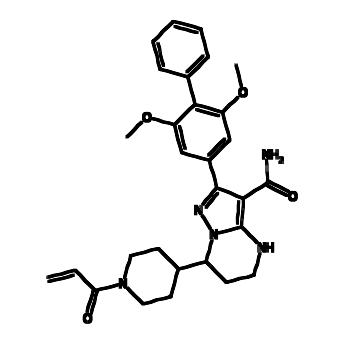 C=CC(=O)N1CCC(C2CCNc3c(C(N)=O)c(-c4cc(OC)c(-c5ccccc5)c(OC)c4)nn32)CC1